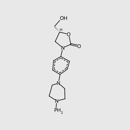 O=C1O[C@@H](CO)CN1c1ccc(N2CCN(P)CC2)cc1